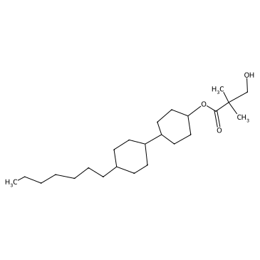 CCCCCCCC1CCC(C2CCC(OC(=O)C(C)(C)CO)CC2)CC1